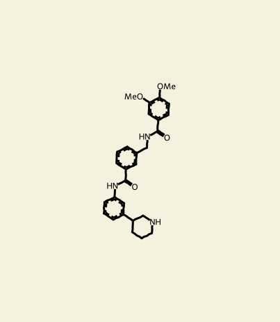 COc1ccc(C(=O)NCc2cccc(C(=O)Nc3cccc(C4CCCNC4)c3)c2)cc1OC